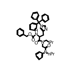 CCCN(C(=O)CN(CC(C)C)C(=O)C(Cc1cn(C(c2ccccc2)(c2ccccc2)c2ccccc2)cn1)NC(=O)OCc1ccccc1)c1ccccc1